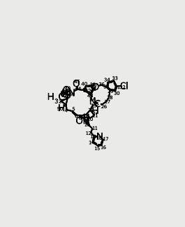 C[C@@]12C[C@H]1C/C=C/[C@@](O)(C#CCCc1ccccn1)[C@@H]1CC[C@H]1CN1CCCCc3cc(Cl)ccc3COc3ccc(cc31)C(=O)NS2(=O)=O